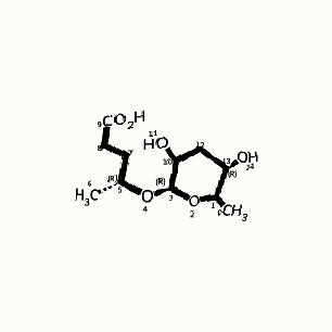 CC1O[C@@H](O[C@H](C)CCC(=O)O)C(O)C[C@H]1O